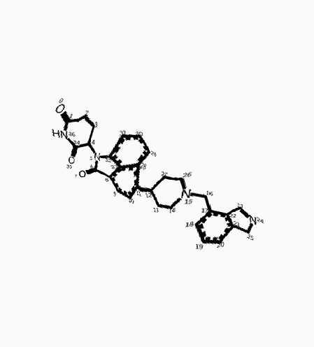 O=C1CCC(N2C(=O)c3ccc(C4CCN(Cc5cccc6c5C=NC6)CC4)c4cccc2c34)C(=O)N1